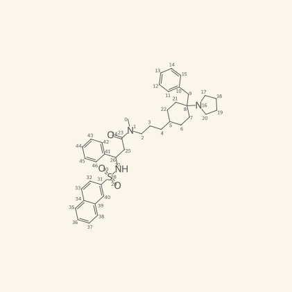 CN(CCCC1CCC(Cc2ccccc2)(N2CCCC2)CC1)C(=O)CC(NS(=O)(=O)c1ccc2ccccc2c1)c1ccccc1